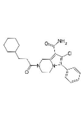 NC(=O)c1c(Cl)c(-c2ccccc2)n2c1CN(C(=O)CCC1CCCCC1)CC2